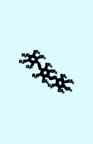 Cc1c(C)c(C)c(/N=N/c2c(C)c(C)c(/N=N/c3c(C)c(C)c(C)c(C)c3C)c(C)c2C)c(C)c1C